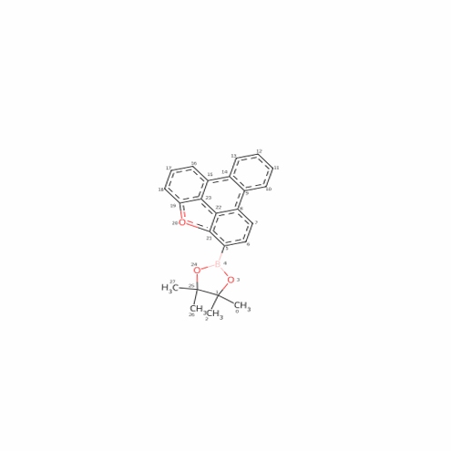 CC1(C)OB(c2ccc3c4ccccc4c4cccc5oc2c3c54)OC1(C)C